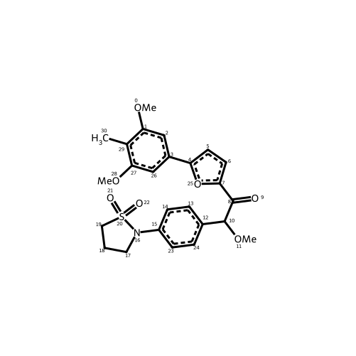 COc1cc(-c2ccc(C(=O)C(OC)c3ccc(N4CCCS4(=O)=O)cc3)o2)cc(OC)c1C